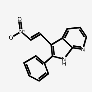 O=[N+]([O-])C=Cc1c(-c2ccccc2)[nH]c2ncccc12